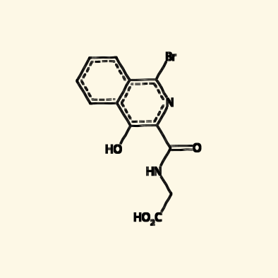 O=C(O)CNC(=O)c1nc(Br)c2ccccc2c1O